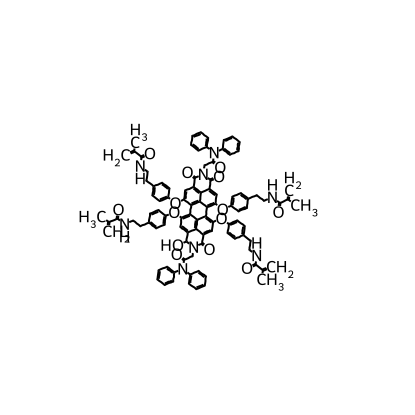 C=C(C)C(=O)NCCc1ccc(Oc2cc3c4c(cc(Oc5ccc(CCNC(=O)C(=C)C)cc5)c5c6c(Oc7ccc(CCNC(=O)C(=C)C)cc7)cc7c8c(cc(Oc9ccc(CCNC(=O)C(=C)C)cc9)c(c2c45)c86)C(=O)N(CC(=O)N(c2ccccc2)c2ccccc2)C7O)C(=O)N(CC(=O)N(c2ccccc2)c2ccccc2)C3=O)cc1